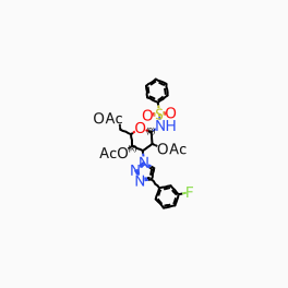 CC(=O)OCC1O[C@@H](NS(=O)(=O)c2ccccc2)C(OC(C)=O)C(n2cc(-c3cccc(F)c3)nn2)[C@H]1OC(C)=O